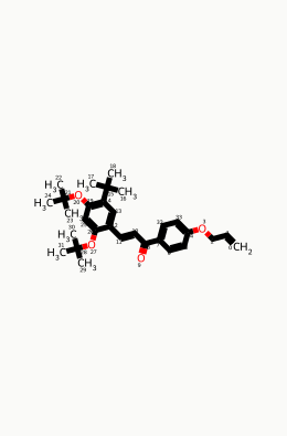 C=CCOc1ccc(C(=O)C=Cc2cc(C(C)(C)C)c(OC(C)(C)C)cc2OC(C)(C)C)cc1